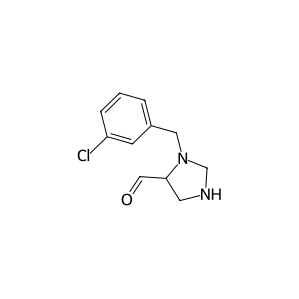 O=CC1CNCN1Cc1cccc(Cl)c1